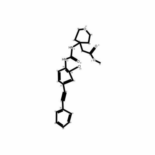 COC(=O)CC1(NC(=O)Nc2ccc(C#Cc3ccccc3)cc2Cl)CCOCC1